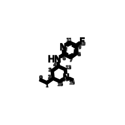 CCC1CC(Nc2ccc(F)cn2)CN(C)C1